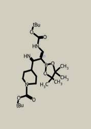 CC(C)(C)OC(=O)N/C=C(/B1OC(C)(C)C(C)(C)O1)C(=N)C1CCN(C(=O)OC(C)(C)C)CC1